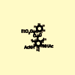 CCOC(=O)C(OC(=O)c1c(I)c(NC(C)=O)c(I)c(NC(C)=O)c1I)c1ccccc1